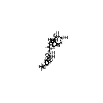 CC[C@@H]1NC[C@H](O)CCC(C)[C@H]2CCC3(C)C([C@H](C)CCNC(=O)NS(=O)(=O)c4ccc(OC(F)(F)F)cc4)CC[C@H]3[C@@H]2[C@@H]1O